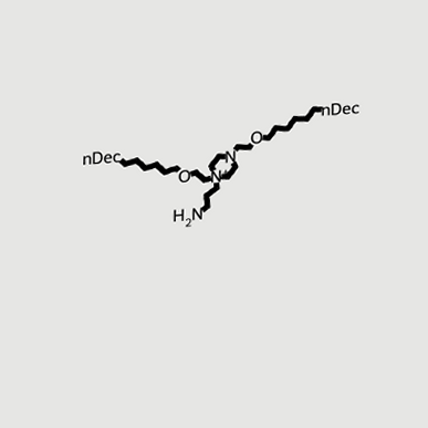 CCCCCCCCCCCCCCCCOCCN1CC[N+](CCCN)(CCOCCCCCCCCCCCCCCCC)CC1